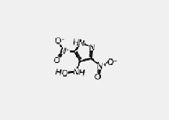 O=[N+]([O-])c1n[nH]c([N+](=O)[O-])c1NO